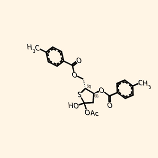 CC(=O)OC1(O)C[C@H](OC(=O)c2ccc(C)cc2)[C@@H](COC(=O)c2ccc(C)cc2)S1